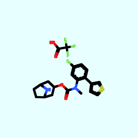 CN(C(=O)OC1CC2CCC(C1)N2)c1cc(F)ccc1-c1ccsc1.O=C(O)C(F)(F)F